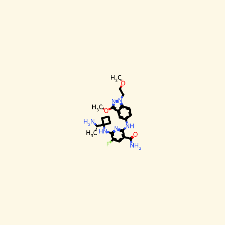 COCCn1nc(OC)c2cc(Nc3nc(NC4([C@H](C)N)CCC4)c(F)cc3C(N)=O)ccc21